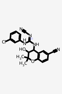 CC1(C)Oc2ccc(C#N)cc2C(N/C(=N/C#N)Nc2cccc(Cl)c2)C1O